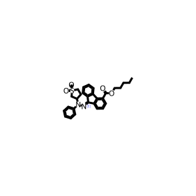 CCCCCOC(=O)c1cccc2c1-c1ccccc1/C2=N\N(c1ccccc1)C1CCS(=O)(=O)C1